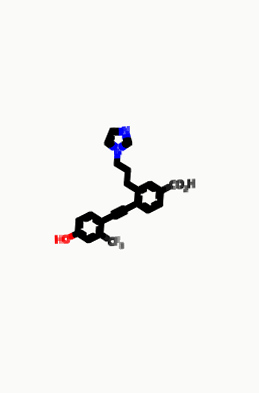 O=C(O)c1ccc(C#Cc2ccc(O)cc2C(F)(F)F)c(CCCn2ccnc2)c1